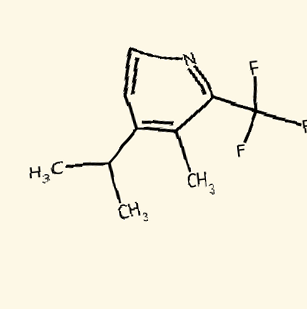 Cc1c(C(C)C)ccnc1C(F)(F)F